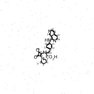 C[C@H]1CCCN1c1c(NC(Cc2ccc(Nc3nccc4ccncc34)cc2)C(=O)O)c(=O)c1=O